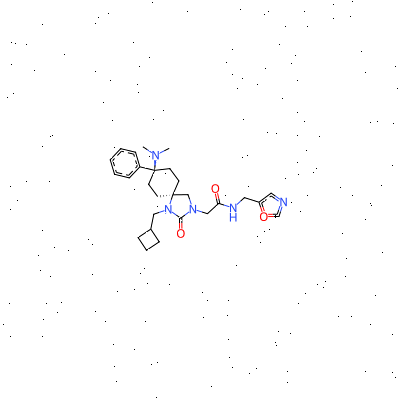 CN(C)[C@]1(c2ccccc2)CC[C@]2(CC1)CN(CC(=O)NCc1cnco1)C(=O)N2CC1CCC1